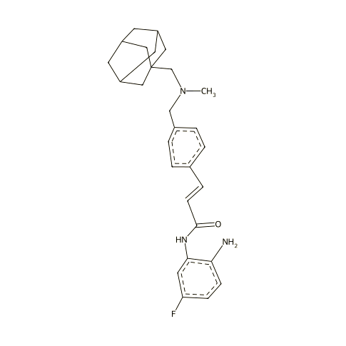 CN(Cc1ccc(/C=C/C(=O)Nc2cc(F)ccc2N)cc1)CC12CC3CC(CC(C3)C1)C2